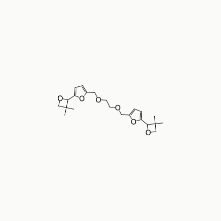 CC1(C)COC1c1ccc(COCCOCc2ccc(C3OCC3(C)C)o2)o1